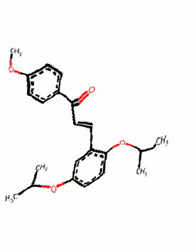 COc1ccc(C(=O)/C=C/c2cc(OC(C)C)ccc2OC(C)C)cc1